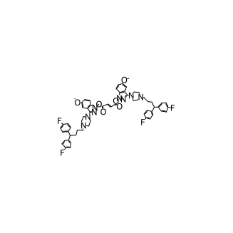 COc1ccc2c(c1)c(N1CCN(CCCC(c3ccc(F)cc3)c3ccc(F)cc3)CC1)nn2OC(=O)/C=C/C(=O)On1nc(N2CCN(CCCC(c3ccc(F)cc3)c3ccc(F)cc3)CC2)c2cc(OC)ccc21